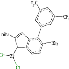 CCCCC1=Cc2c(ccc(C(C)(C)C)c2-c2cc(C(F)(F)F)cc(C(F)(F)F)c2)[CH]1[Zr]([Cl])[Cl]